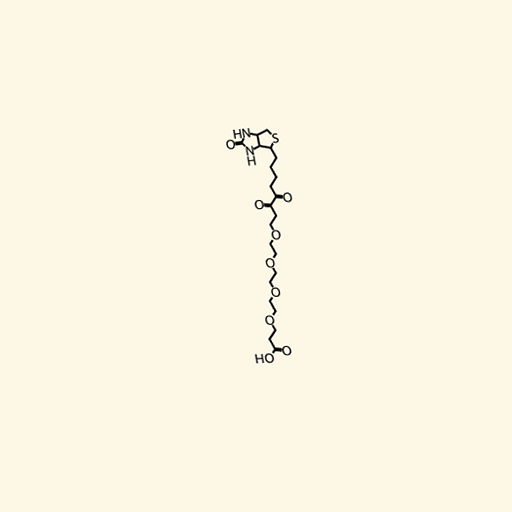 O=C(O)CCOCCOCCOCCOCCC(=O)C(=O)CCCCC1SCC2NC(=O)NC21